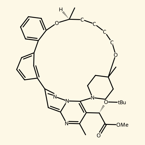 COC(=O)[C@@H](OC(C)(C)C)c1c(C)nc2cc3nn2c1N1CCC(C)(CC1)OCCCC[C@H](C)Oc1ccccc1-c1cccc-3c1